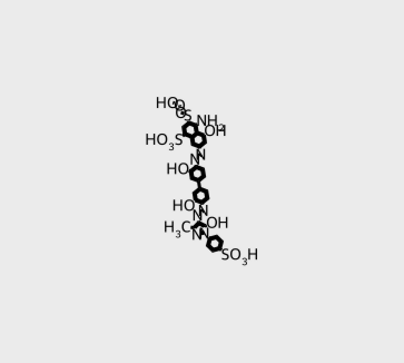 Cc1nn(-c2ccc(S(=O)(=O)O)cc2)c(O)c1N=Nc1ccc(-c2ccc(N=Nc3cc(O)c4c(N)c(SOOO)cc(S(=O)(=O)O)c4c3)c(O)c2)cc1O